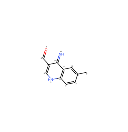 Cc1ccc2[nH]cc(C=O)c(=N)c2c1